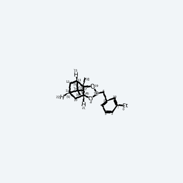 CCc1cccc(CB2O[C@@H]3C[C@@H]4C[C@@H](C4(C)C)[C@]3(C)O2)c1